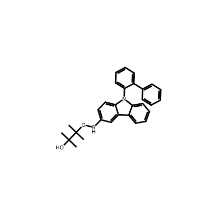 CC(C)(O)C(C)(C)OBc1ccc2c(c1)c1ccccc1n2-c1ccccc1-c1ccccc1